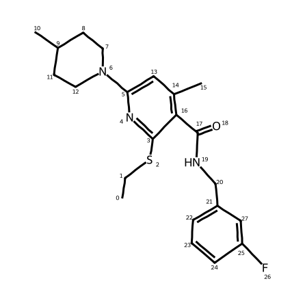 CCSc1nc(N2CCC(C)CC2)cc(C)c1C(=O)NCc1cccc(F)c1